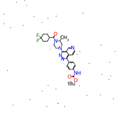 C[C@H]1CN(c2nnc(-c3ccc(NC(=O)OC(C)(C)C)cc3)c3ccncc23)CCN1C(=O)C1CCC(F)(F)CC1